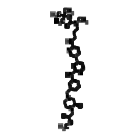 COC(=O)CN1CCN(Cc2cccc(Nc3nccc(-c4ccc(NCCCN(C)C(=O)OC(C)(C)C)nc4)n3)c2)CC1=O